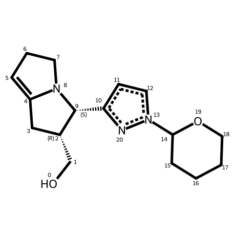 OC[C@@H]1CC2=CCCN2[C@@H]1c1ccn(C2CCCCO2)n1